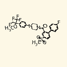 COC(CF)(c1ccc(N2CCN(C(=O)c3cc(S(C)(=O)=O)ccc3-c3ccc(F)cc3)CC2)cc1)C(F)(F)F